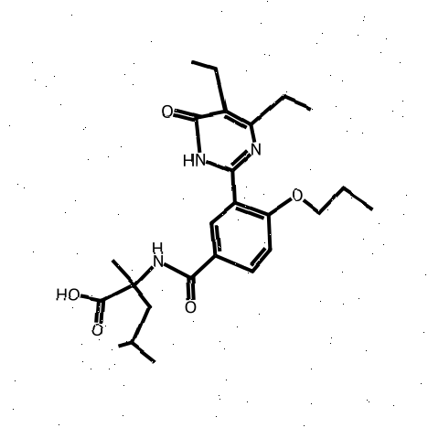 CCCOc1ccc(C(=O)NC(C)(CC(C)C)C(=O)O)cc1-c1nc(CC)c(CC)c(=O)[nH]1